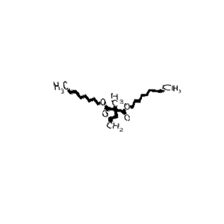 C=CCC(C)(C(=O)OCCCCCCCC)C(=O)OCCCCCCCC